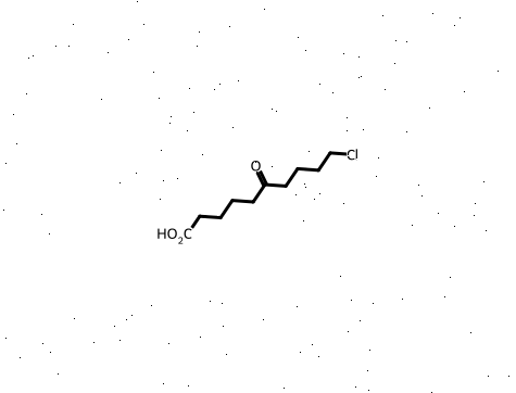 O=C(O)CCCCC(=O)CCCCCl